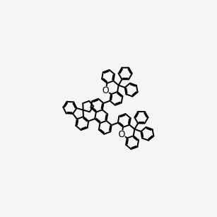 c1ccc(C2(c3ccccc3)c3ccccc3Oc3c(-c4cccc5c(-c6cccc7c6C6(CCCC6)c6ccccc6-7)c6cccc(-c7cccc8c7Oc7ccccc7C8(c7ccccc7)c7ccccc7)c6cc45)cccc32)cc1